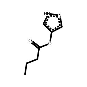 CCCC(=O)Oc1cn[nH]c1